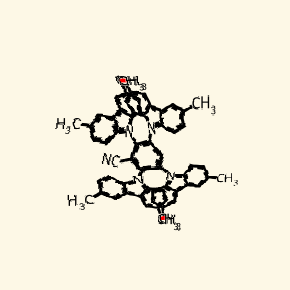 Cc1ccc2c(c1)c1cc(C)ccc1n2-c1cc(-n2c3ccc(C)cc3c3cc(C)ccc32)c(-n2c3ccc(C)cc3c3cc(C)ccc32)c(C#N)c1-n1c2ccc(C)cc2c2cc(C)ccc21